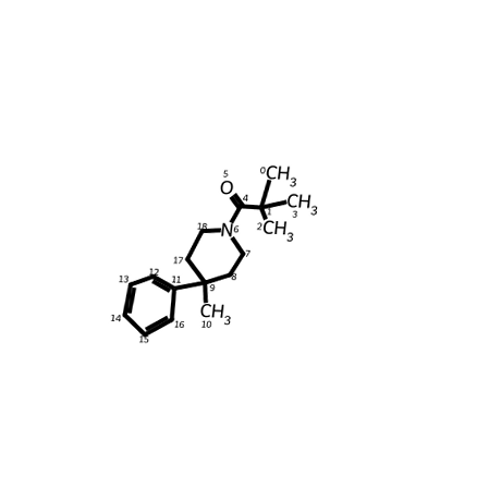 CC(C)(C)C(=O)N1CCC(C)(c2ccccc2)CC1